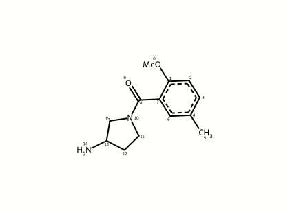 COc1ccc(C)cc1C(=O)N1CCC(N)C1